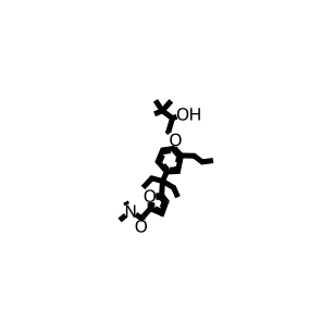 CCCc1cc(C(CC)(CC)c2ccc(C(=O)N(C)C)o2)ccc1OCC(O)C(C)(C)C